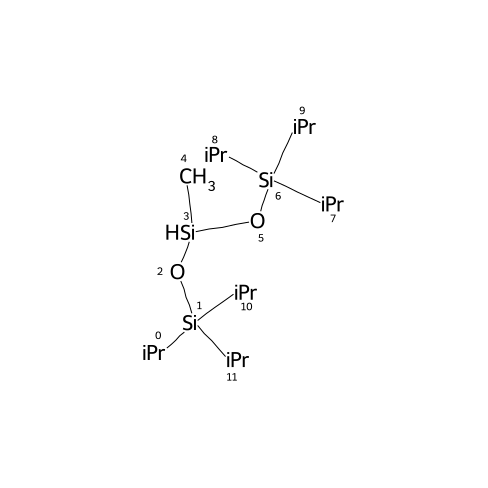 CC(C)[Si](O[SiH](C)O[Si](C(C)C)(C(C)C)C(C)C)(C(C)C)C(C)C